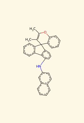 CC1=C(C)C2(c3ccccc3O1)c1ccccc1-c1c(Nc3ccc4ccccc4c3)cccc12